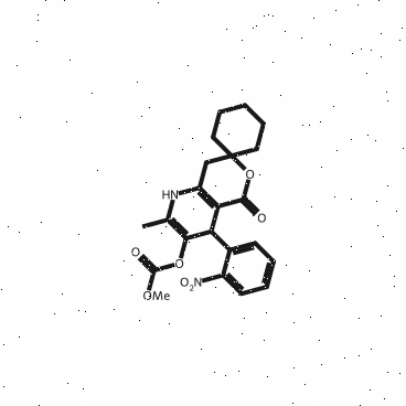 COC(=O)OC1=C(C)NC2=C(C(=O)OC3(CCCCC3)C2)C1c1ccccc1[N+](=O)[O-]